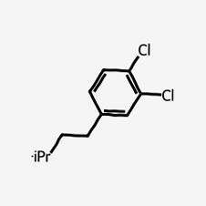 C[C](C)CCc1ccc(Cl)c(Cl)c1